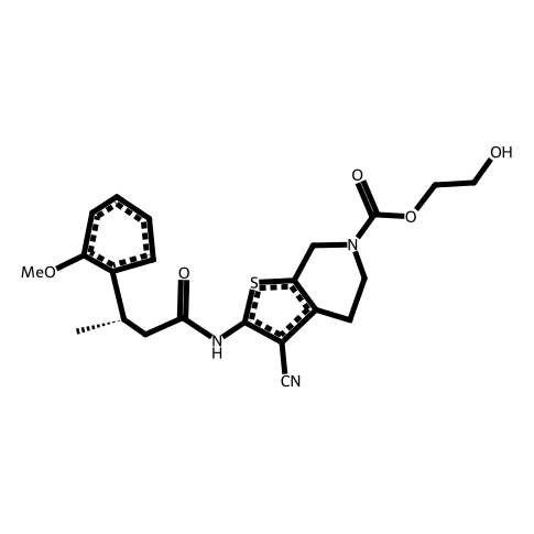 COc1ccccc1[C@@H](C)CC(=O)Nc1sc2c(c1C#N)CCN(C(=O)OCCO)C2